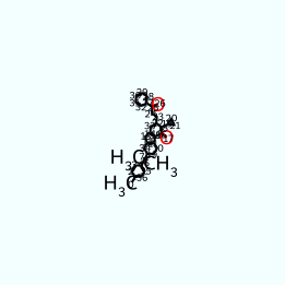 Cc1ccc(C(C)(C)C2CCC3=C(CC4=C3C(=O)C(C3CC3)C(CCC(=O)c3ccccc3)=C4)C2)cc1